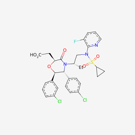 CC[C@@H](CN(c1ncccc1F)S(=O)(=O)C1CC1)N1C(=O)[C@H](CC(=O)O)O[C@H](c2cccc(Cl)c2)[C@H]1c1ccc(Cl)cc1